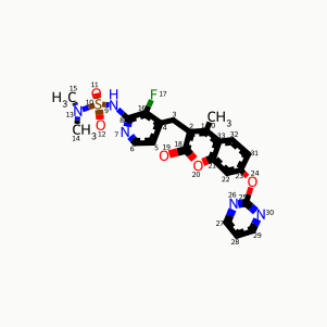 Cc1c(Cc2ccnc(NS(=O)(=O)N(C)C)c2F)c(=O)oc2cc(Oc3ncccn3)ccc12